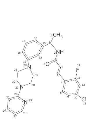 CC(NC(=O)C=Cc1ccc(Cl)cc1F)c1cccc(N2CCN(c3ccccn3)CC2)c1